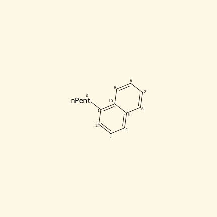 CCCCCc1[c]ccc2ccccc12